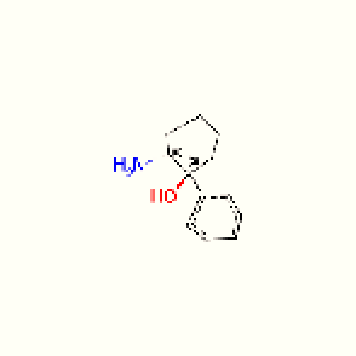 N[C@@H]1CCCC[C@]1(O)c1ccccc1